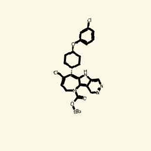 CC(C)(C)OC(=O)N1CC=C(Cl)C([C@H]2CC[C@H](Oc3cccc(Cl)c3)CC2)=c2[nH]c3c(c21)CN=NC=3